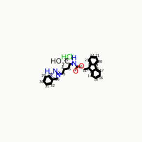 Cl.NN(CCCC(NC(=O)OCC1c2ccccc2-c2ccccc21)C(=O)O)Cc1ccccc1